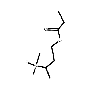 CCC(=O)OCCC(C)[Si](C)(C)F